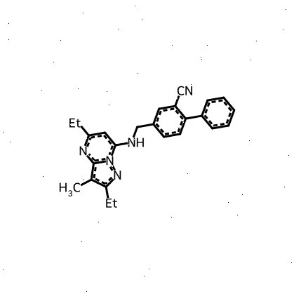 CCc1cc(NCc2ccc(-c3ccccc3)c(C#N)c2)n2nc(CC)c(C)c2n1